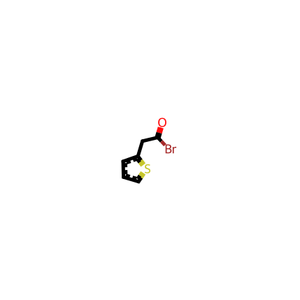 O=C(Br)Cc1cccs1